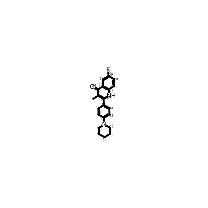 Cc1c(-c2ccc(N3CCCCC3)cc2)[nH]c2ccc(F)cc2c1=O